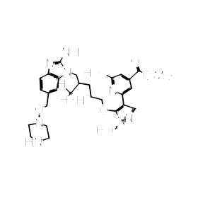 [2H]C([2H])([2H])C(CCCOc1c(-c2cc(C(=O)OC)cc(C)n2)cnn1C)Cn1c(N)nc2ccc(CON3CCNCC3)cc21